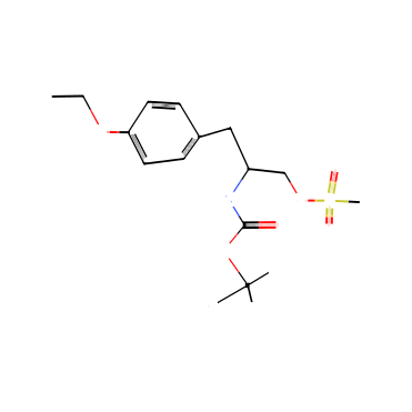 CCOc1ccc(CC(COS(C)(=O)=O)NC(=O)OC(C)(C)C)cc1